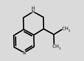 CC(C)C1CNCc2ccncc21